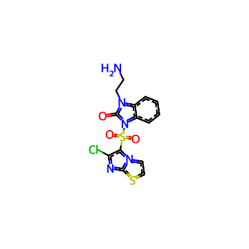 NCCn1c(=O)n(S(=O)(=O)c2c(Cl)nc3sccn23)c2ccccc21